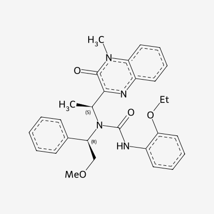 CCOc1ccccc1NC(=O)N([C@@H](C)c1nc2ccccc2n(C)c1=O)[C@@H](COC)c1ccccc1